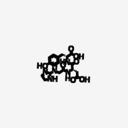 O=C(O)C[C@H](NC(=O)CNC1N=CCN1)C(=O)N[C@H](Cc1ccc(O)cc1)C(=O)O